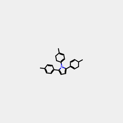 CC1=CC=C(n2c(C3=CCC(C)C=C3)ccc2-c2ccc(C)cc2)CC1